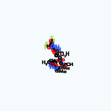 C#CCN1C(=O)COc2cc(F)c(N3C(=O)C4=C(CCCC4)C3=O)cc21.COc1cc(OC)nc(NC(=O)NS(=O)(=O)c2ncccc2C(=O)N(C)C)n1.O=C(Nc1nc(OC(F)F)cc(OC(F)F)n1)NS(=O)(=O)c1ccccc1C(=O)O